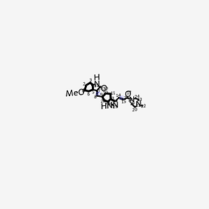 COc1ccc2c(c1)/C(=C/c1ccc3c(/C=C/C(=O)N4CCN(C)CC4)n[nH]c3c1)C(=O)N2